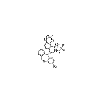 CC(=O)Oc1c2n(ccc1=O)N(C1c3ccccc3CSc3cc(Br)ccc31)CN([C@H](C)C(F)(F)F)C2=O